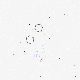 C[C@@H](OC[C@@]1(c2ccccc2)CC[C@]2(CCC(=O)N2)CN1)c1cc(C(F)F)cc(C(F)(F)F)c1